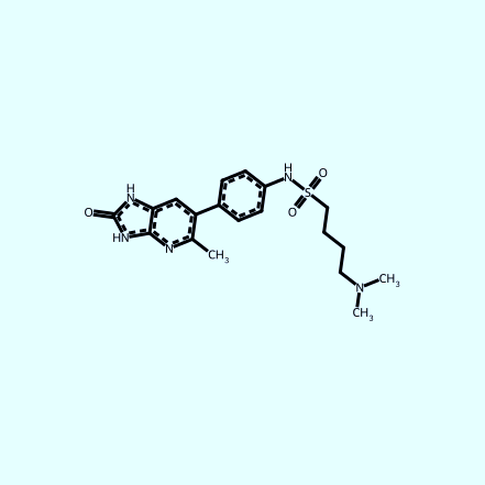 Cc1nc2[nH]c(=O)[nH]c2cc1-c1ccc(NS(=O)(=O)CCCCN(C)C)cc1